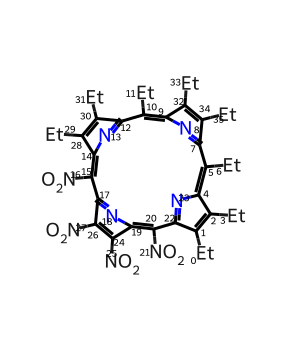 CCC1=C(CC)C2=C(CC)C3=NC(=C(CC)C4=NC(=C([N+](=O)[O-])C5=NC(=C([N+](=O)[O-])C1=N2)C([N+](=O)[O-])=C5[N+](=O)[O-])C(CC)=C4CC)C(CC)=C3CC